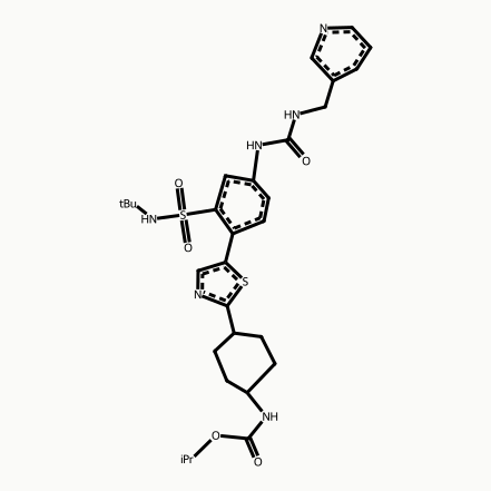 CC(C)OC(=O)NC1CCC(c2ncc(-c3ccc(NC(=O)NCc4cccnc4)cc3S(=O)(=O)NC(C)(C)C)s2)CC1